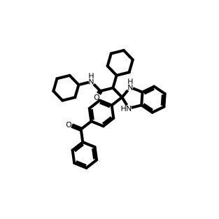 O=C(c1ccccc1)c1ccc(C2(C(C(=O)NC3CCCCC3)C3CCCCC3)Nc3ccccc3N2)cc1